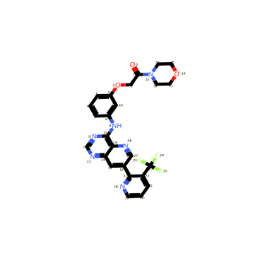 O=C(COc1cccc(Nc2ncnc3cc(-c4ncccc4C(F)(F)F)cnc23)c1)N1CCOCC1